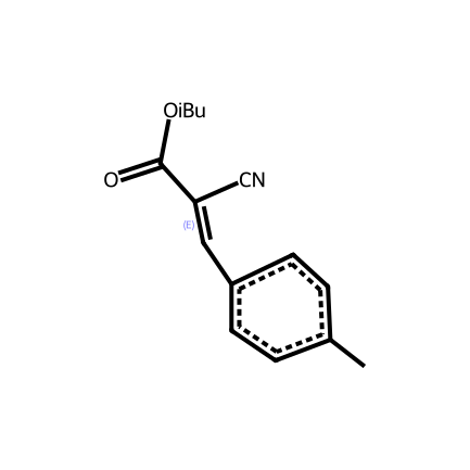 Cc1ccc(/C=C(\C#N)C(=O)OCC(C)C)cc1